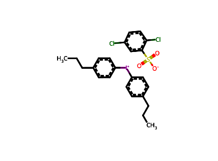 CCCc1ccc([I+]c2ccc(CCC)cc2)cc1.O=S(=O)([O-])c1cc(Cl)ccc1Cl